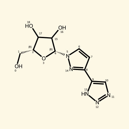 OC[C@H]1O[C@@H](n2ccc(-c3cnn[nH]3)n2)C(O)C1O